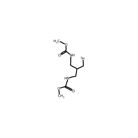 [2H]CC(CNC(=O)OC)CNC(=O)OC